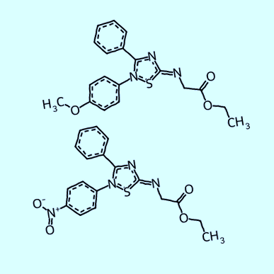 CCOC(=O)CN=c1nc(-c2ccccc2)n(-c2ccc(OC)cc2)s1.CCOC(=O)CN=c1nc(-c2ccccc2)n(-c2ccc([N+](=O)[O-])cc2)s1